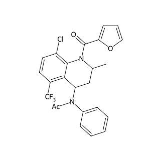 CC(=O)N(c1ccccc1)C1CC(C)N(C(=O)c2ccco2)c2c(Cl)ccc(C(F)(F)F)c21